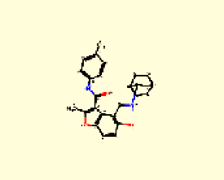 Cc1oc2ccc(O)c(CNC3CC4CCC3CC4)c2c1C(=O)Nc1ccc(C(F)(F)F)cc1